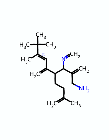 C=NC(C(=C)CN)C(CCC(=C)C)C(=C)/C=C(\C)C(C)(C)C